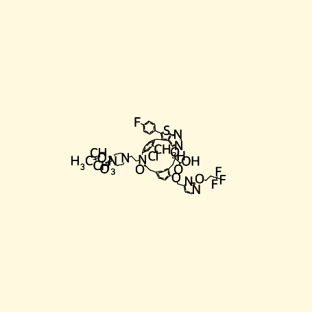 Cc1c2ccc(c1Cl)N(CCN1CCN(C(=O)OC(C)(C)C)CC1)C(=O)Cc1ccc(OCc3ccnc(OCCC(F)(F)F)n3)c(c1)C[C@H](C(=O)O)Oc1ncnc3sc(-c4ccc(F)cc4)c-2c13